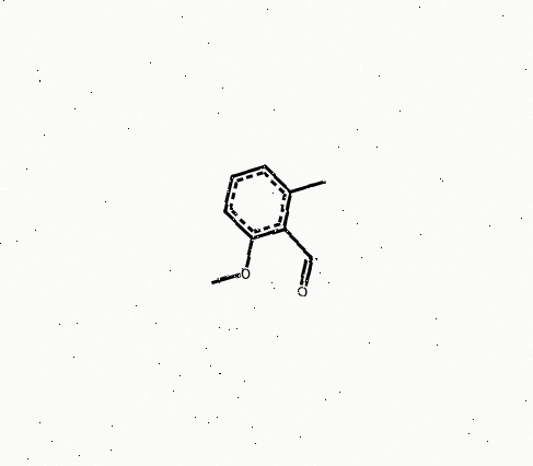 COc1cccc(C)c1C=O